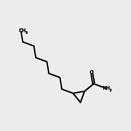 CCCCCCCCC1CC1C(N)=O